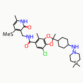 CSc1cc(C)[nH]c(=O)c1CNC(=O)c1cc(Cl)c2c(c1C)OC(C)(C1CCC(NN3CC[Si](C)(C)CC3)CC1)O2